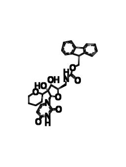 O=C(NC[C@H]1O[C@@H](n2ccc(=O)[nH]c2=O)[C@@](O)(C2CCCCO2)[C@@H]1O)OCC1c2ccccc2-c2ccccc21